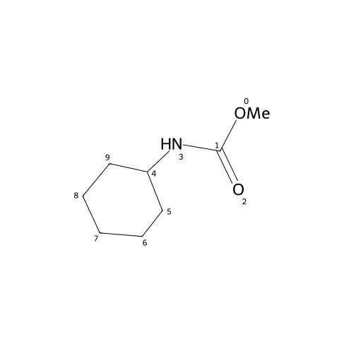 [CH2]OC(=O)NC1CCCCC1